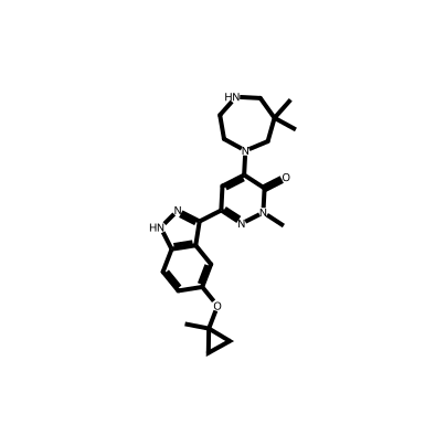 Cn1nc(-c2n[nH]c3ccc(OC4(C)CC4)cc23)cc(N2CCNCC(C)(C)C2)c1=O